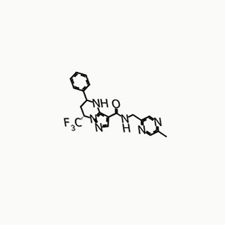 Cc1cnc(CNC(=O)c2cnn3c2NC(c2ccccc2)C[C@H]3C(F)(F)F)cn1